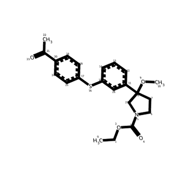 CCOC(=O)N1CCC(OC)(c2cccc(Sc3ccc(C(C)=O)cc3)c2)C1